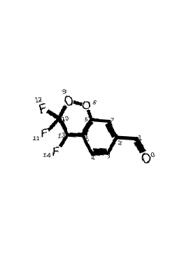 O=Cc1ccc2c(c1)OOC(F)(F)C2F